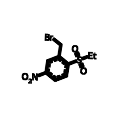 CCS(=O)(=O)c1ccc([N+](=O)[O-])cc1CBr